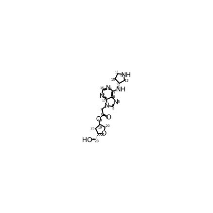 O=C(Cn1cnc2c(N[C@@H]3CCNC3)ncnc21)O[C@H]1CO[C@H](CO)C1